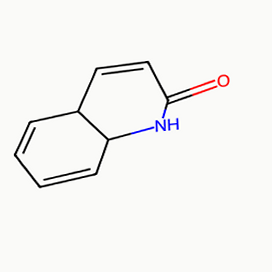 O=C1C=CC2C=CC=CC2N1